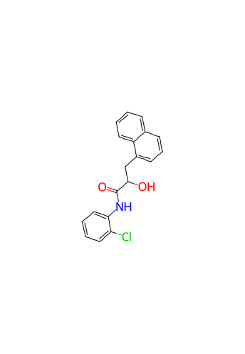 O=C(Nc1ccccc1Cl)C(O)Cc1cccc2ccccc12